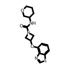 O=C(NC1CCCOC1)N1CC(Oc2cccc3scnc23)C1